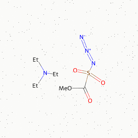 CCN(CC)CC.COC(=O)S(=O)(=O)N=[N+]=[N-]